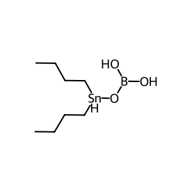 CCC[CH2][SnH]([CH2]CCC)[O]B(O)O